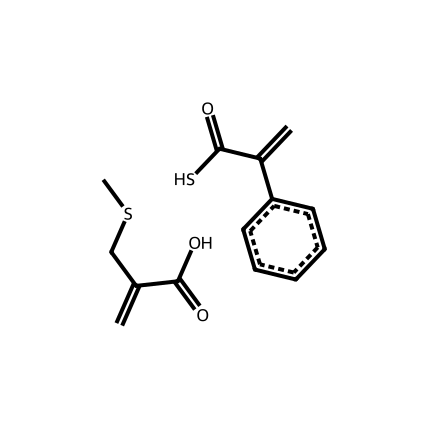 C=C(C(=O)S)c1ccccc1.C=C(CSC)C(=O)O